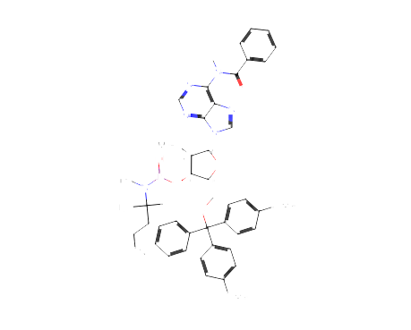 CCN(C(=O)c1ccccc1)c1ncnc2c1ncn2[C@@H]1O[C@H](COC(c2ccccc2)(c2ccc(OC)cc2)c2ccc(OC)cc2)[C@@H](OP(O)N(C(C)C)C(C)(C)CCC#N)[C@H]1OC